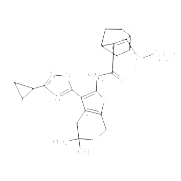 CC1(C)Cc2c(sc(NC(=O)C3=C(OC(=O)O)C4CCC3CC4)c2-c2nc(C3CC3)no2)CO1